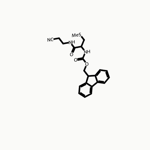 CSCC(NC(=O)OCC1c2ccccc2-c2ccccc21)C(=O)NCCC#N